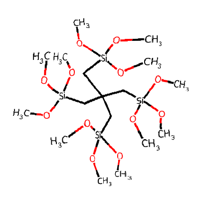 CO[Si](CC(C[Si](OC)(OC)OC)(C[Si](OC)(OC)OC)C[Si](OC)(OC)OC)(OC)OC